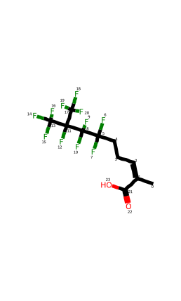 CC(=CCCC(F)(F)C(F)(F)C(F)(C(F)(F)F)C(F)(F)F)C(=O)O